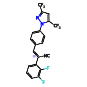 [C-]#[N+]/C(=C\c1ccc(-n2nc(C(F)(F)F)cc2C(F)(F)F)cc1)c1cccc(F)c1F